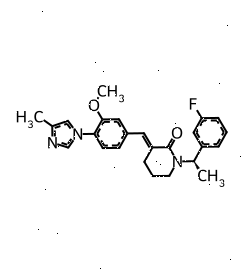 COc1cc(/C=C2\CCCN([C@H](C)c3cccc(F)c3)C2=O)ccc1-n1cnc(C)c1